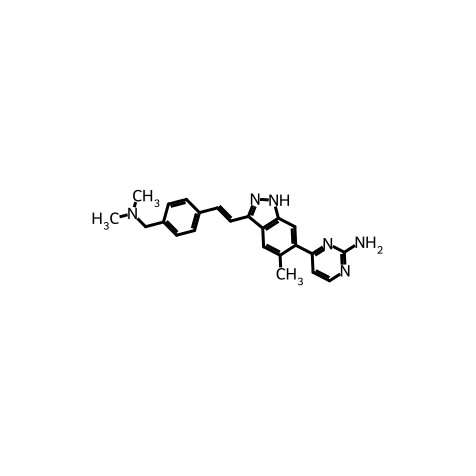 Cc1cc2c(C=Cc3ccc(CN(C)C)cc3)n[nH]c2cc1-c1ccnc(N)n1